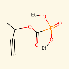 C#CC(C)OC(=O)P(=O)(OCC)OCC